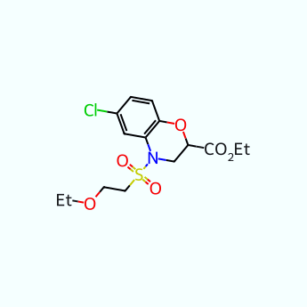 CCOCCS(=O)(=O)N1CC(C(=O)OCC)Oc2ccc(Cl)cc21